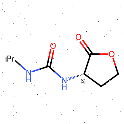 CC(C)NC(=O)N[C@H]1CCOC1=O